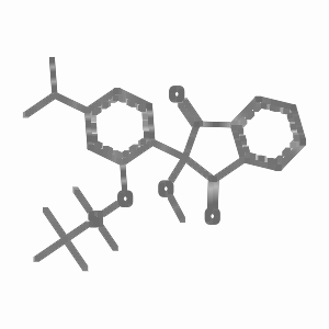 COC1(c2ccc(C(C)C)cc2O[Si](C)(C)C(C)(C)C)C(=O)c2ccccc2C1=O